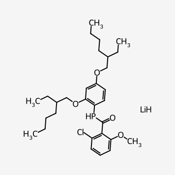 CCCCC(CC)COc1ccc(PC(=O)c2c(Cl)cccc2OC)c(OCC(CC)CCCC)c1.[LiH]